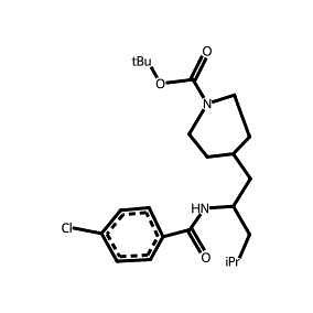 CC(C)CC(CC1CCN(C(=O)OC(C)(C)C)CC1)NC(=O)c1ccc(Cl)cc1